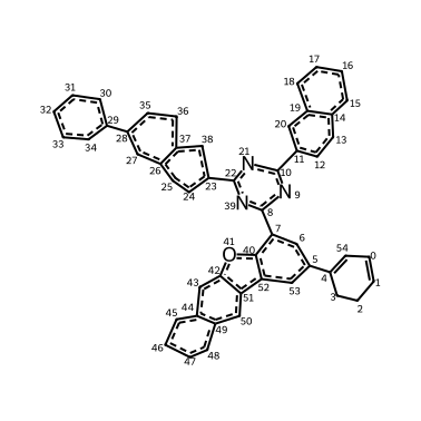 C1=CCCC(c2cc(-c3nc(-c4ccc5ccccc5c4)nc(-c4ccc5cc(-c6ccccc6)ccc5c4)n3)c3oc4cc5ccccc5cc4c3c2)=C1